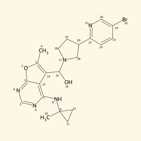 Cc1oc2ncnc(NC3(C)CC3)c2c1C(O)N1CCC(c2ccc(Br)cn2)C1